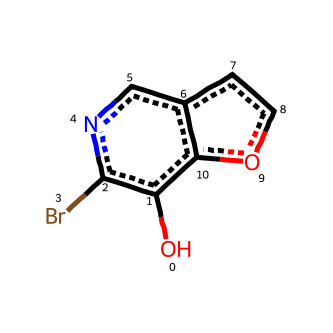 Oc1c(Br)ncc2ccoc12